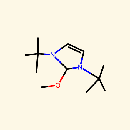 COC1N(C(C)(C)C)C=CN1C(C)(C)C